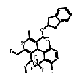 COC(=O)C1=C(CF)NC(C)=C(C(=O)OC2Cc3ccccc3C2)C1c1c(F)ccc(Cl)c1C(F)(F)F